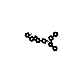 CC1(C)c2cc(-c3ccc(-n4c5ccc(-c6ccccc6)cc5c5cc(-c6ccccc6)ccc54)cc3)ccc2-c2ccc3c(sc4ccccc43)c21